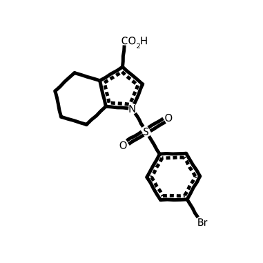 O=C(O)c1cn(S(=O)(=O)c2ccc(Br)cc2)c2c1CCCC2